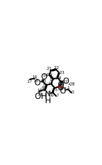 CCOC(=O)C1=C(C)NC(CO)=C(C(=O)OCC)C1c1ccccc1C(=O)OC